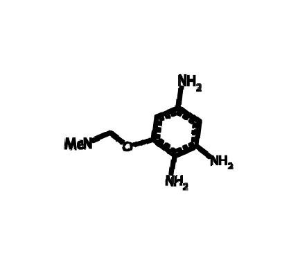 CNCOc1cc(N)cc(N)c1N